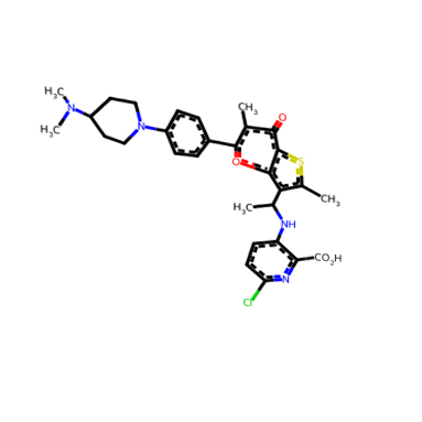 Cc1sc2c(=O)c(C)c(-c3ccc(N4CCC(N(C)C)CC4)cc3)oc2c1C(C)Nc1ccc(Cl)nc1C(=O)O